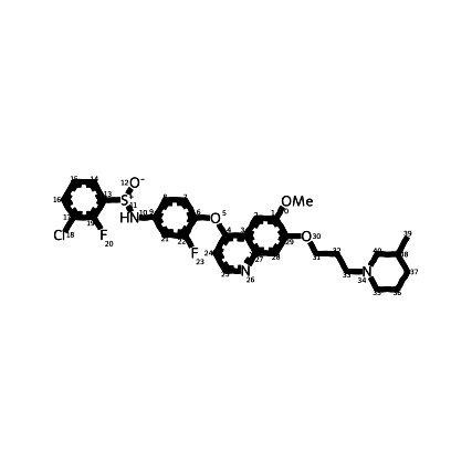 COc1cc2c(Oc3ccc(N[S+]([O-])c4cccc(Cl)c4F)cc3F)ccnc2cc1OCCCN1CCCC(C)C1